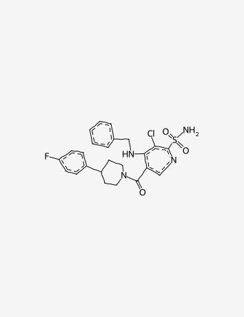 NS(=O)(=O)c1ncc(C(=O)N2CCC(c3ccc(F)cc3)CC2)c(NCc2ccccc2)c1Cl